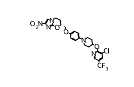 O=[N+]([O-])c1cn2c(n1)O[C@@H](COc1ccc(N3CCC(Oc4ncc(C(F)(F)F)cc4Cl)CC3)cc1)CC2